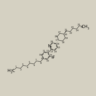 CCCCCCCCCc1ccc(-c2ccc([C@H]3CC[C@H](CCCCCC)CC3)cn2)c(F)c1